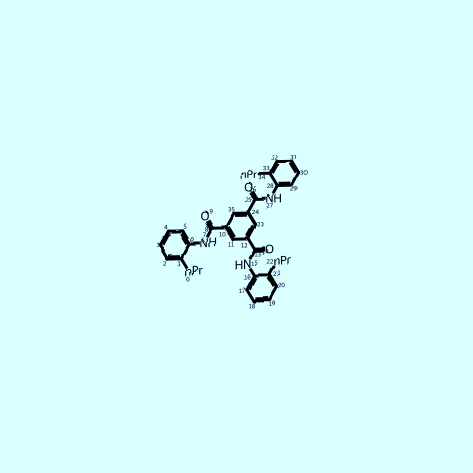 CCCc1ccccc1NC(=O)c1cc(C(=O)Nc2ccccc2CCC)cc(C(=O)Nc2ccccc2CCC)c1